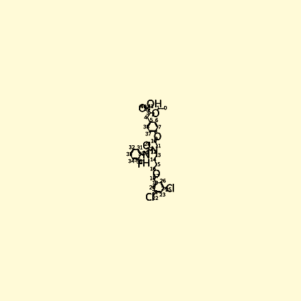 CCOC(Cc1ccc(OCCN(CCCCOCc2cc(Cl)cc(Cl)c2)C(=O)Nc2ccccc2F)cc1)C(=O)O